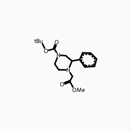 COC(=O)CN1CCN(C(=O)OC(C)(C)C)CC1c1ccccc1